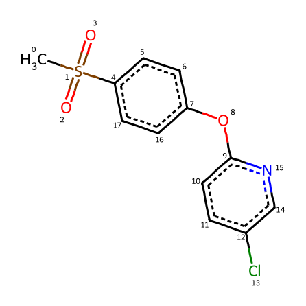 CS(=O)(=O)c1ccc(Oc2ccc(Cl)cn2)cc1